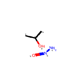 CC(C)O.NN=O